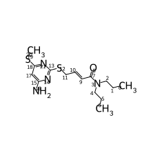 CCCN(CCC)C(=O)C=CCSc1nc(N)cc(SC)n1